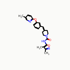 Cc1ccc(Oc2cccc(C=C3CCN(C(=O)Nc4onc(C)c4C)CC3)c2)nc1